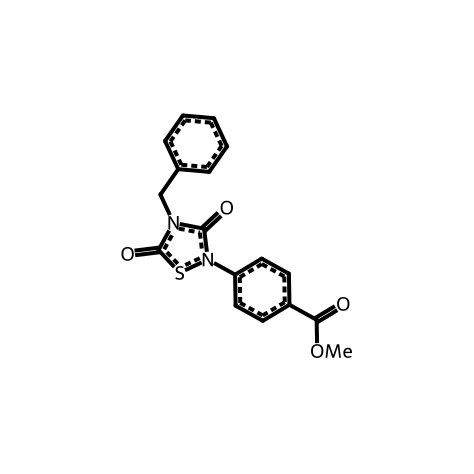 COC(=O)c1ccc(-n2sc(=O)n(Cc3ccccc3)c2=O)cc1